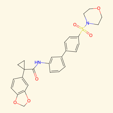 O=C(Nc1cccc(-c2ccc(S(=O)(=O)N3CCOCC3)cc2)c1)C1(c2ccc3c(c2)OCO3)CC1